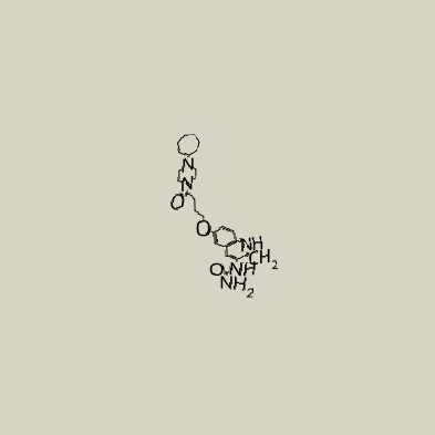 C=C1Nc2ccc(OCCCC(=O)N3CCN(C4CCCCCC4)CC3)cc2C=C1NC(N)=O